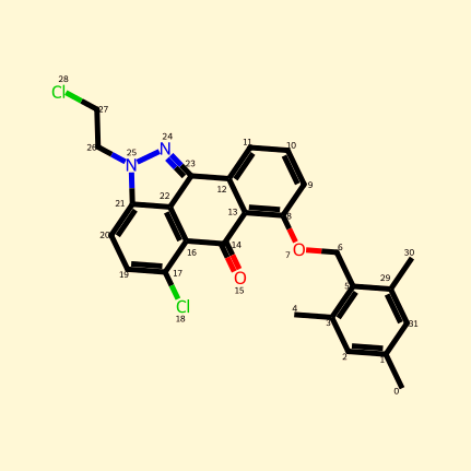 Cc1cc(C)c(COc2cccc3c2C(=O)c2c(Cl)ccc4c2c-3nn4CCCl)c(C)c1